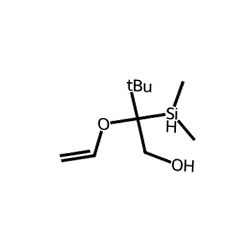 C=COC(CO)([SiH](C)C)C(C)(C)C